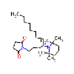 CCCCCCCCC(CCCN1C(=O)CCC1=O)N1C(C)(C)CCCC1(C)C